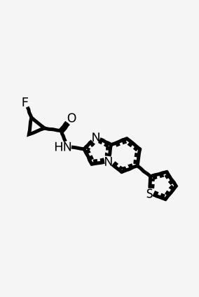 O=C(Nc1cn2cc(-c3cccs3)ccc2n1)C1CC1F